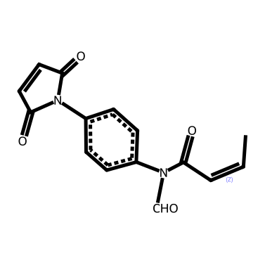 C/C=C\C(=O)N(C=O)c1ccc(N2C(=O)C=CC2=O)cc1